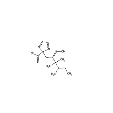 CCC(N)C(C)(C)/C(CC1([N+](=O)[O-])N=CC=N1)=N\O